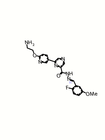 COc1ccc(F)c(/C=N/NC(=O)c2cncc(-c3ccc(OCCN)nc3)n2)c1